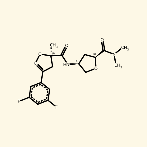 CN(C)C(=O)[C@@H]1C[C@H](NC(=O)[C@@]2(C)CC(c3cc(F)cc(F)c3)=NO2)CO1